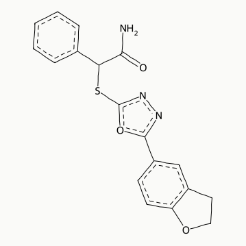 NC(=O)C(Sc1nnc(-c2ccc3c(c2)CCO3)o1)c1ccccc1